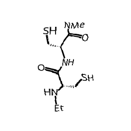 CCN[C@@H](CS)C(=O)N[C@H](CS)C(=O)NC